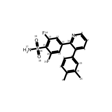 Cc1ccc(-c2cccnc2-c2cc(F)c(S(N)(=O)=O)c(F)c2)cc1C